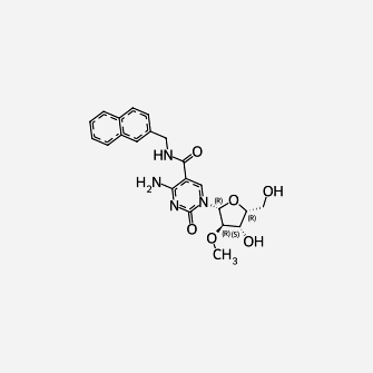 CO[C@@H]1[C@@H](O)[C@@H](CO)O[C@H]1n1cc(C(=O)NCc2ccc3ccccc3c2)c(N)nc1=O